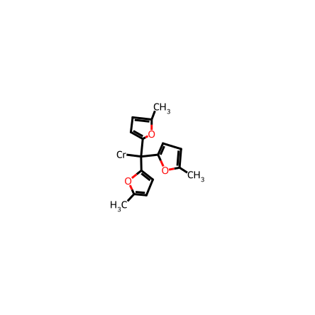 Cc1ccc([C]([Cr])(c2ccc(C)o2)c2ccc(C)o2)o1